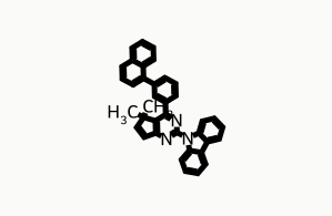 CC1(C)C=Cc2nc(-n3c4ccccc4c4ccccc43)nc(-c3cccc(-c4cccc5ccccc45)c3)c21